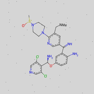 CNCc1cc(C(=N)c2cc(O[C@H](N)c3c(Cl)cncc3Cl)ccc2N)cnc1N1CCN([S+](C)[O-])CC1